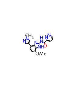 COc1ccc(-c2cnn(C)c2)c2nc(NC(=O)c3cccnn3)[nH]c12